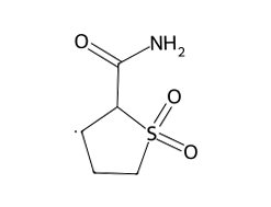 NC(=O)C1[CH]CCS1(=O)=O